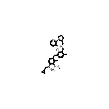 Cc1ccc(Cc2ccc(N(N)CC3CC3)c(N)c2C)cc1CN1CC2CCCN2c2ncccc2[S+]1[O-]